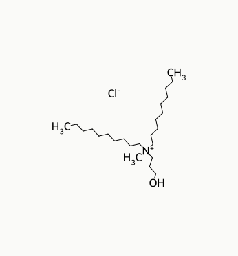 CCCCCCCCCC[N+](C)(CCCO)CCCCCCCCCC.[Cl-]